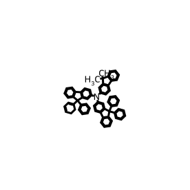 CC1(C)c2ccccc2-c2ccc(N(c3ccc4c(c3)C(C3=CC=CCC3)(c3ccccc3)c3ccccc3-4)c3ccc4c(c3)C(c3ccccc3)(c3ccccc3)c3ccccc3-4)cc21